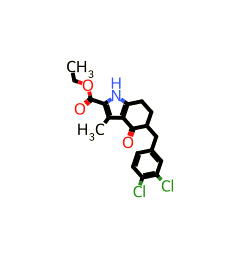 CCOC(=O)c1[nH]c2c(c1C)C(=O)C(Cc1ccc(Cl)c(Cl)c1)CC2